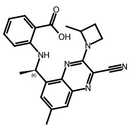 Cc1cc([C@@H](C)Nc2ccccc2C(=O)O)c2nc(N3CCC3C)c(C#N)nc2c1